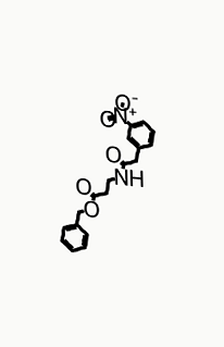 O=C(Cc1cccc([N+](=O)[O-])c1)NCCC(=O)OCc1ccccc1